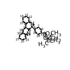 CC1(C)OB(c2ccc(-c3nc4ccccc4c4cc5ccccc5nc34)cc2)OC1(C)C